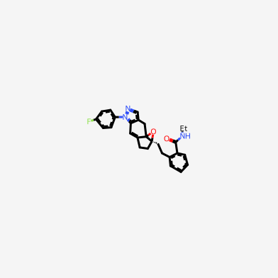 CCNC(=O)c1ccccc1CC[C@]12CCC3=Cc4c(cnn4-c4ccc(F)cc4)CC31O2